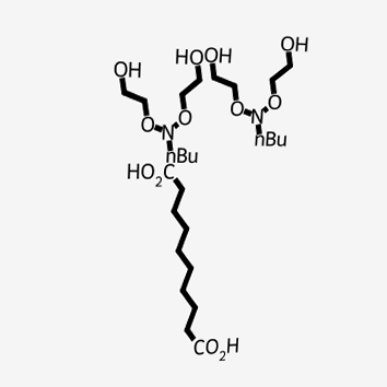 CCCCN(OCCO)OCCO.CCCCN(OCCO)OCCO.O=C(O)CCCCCCCCC(=O)O